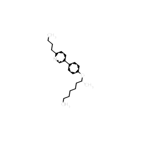 CCCCCC[C@@H](C)Oc1ccc(-c2ccc(CCCC)nc2)cc1